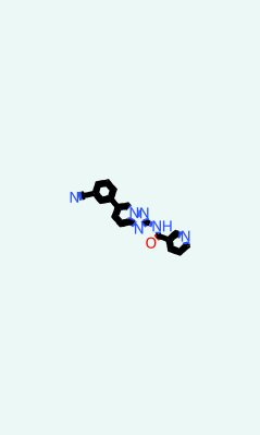 N#Cc1cccc(-c2ccc3nc(NC(=O)c4cccnc4)nn3c2)c1